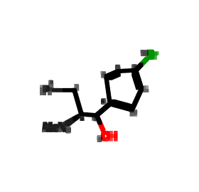 CN[C@@H](CC(C)C)C(O)c1ccc(Br)cc1